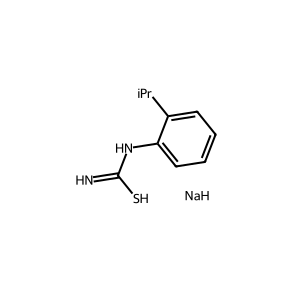 CC(C)c1ccccc1NC(=N)S.[NaH]